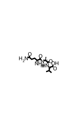 CC(C)[C@H](NC(=O)[C@H](C)NC(=O)[C@@H](N)CCC(N)=O)C(=O)O